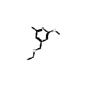 CCOCc1cc(C)nc(OC)c1